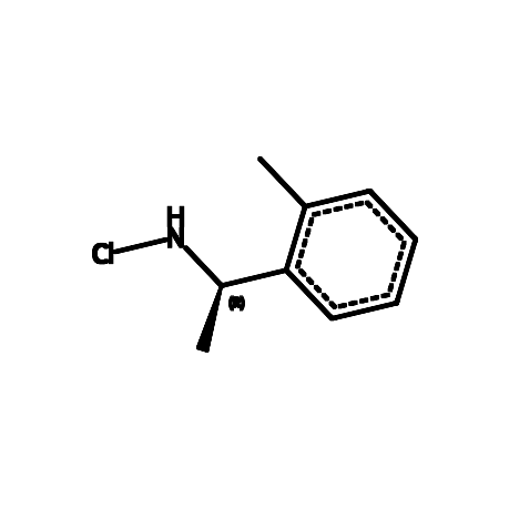 Cc1ccccc1[C@@H](C)NCl